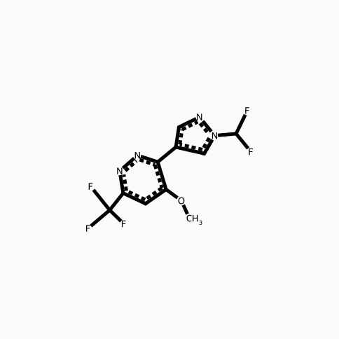 COc1cc(C(F)(F)F)nnc1-c1cnn(C(F)F)c1